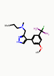 CCCOc1cc(-c2c[nH]nc2CN(C)CCNC)cc(C(F)(P)P)c1